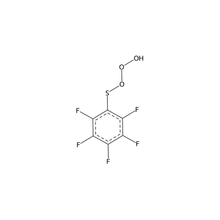 OOOSc1c(F)c(F)c(F)c(F)c1F